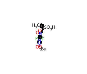 Cc1ccc(S(=O)(=O)O)c(CC2CN(c3cc(F)c(N4CCN(C(=O)OC(C)(C)C)CC4)c(F)c3)C(=O)O2)c1